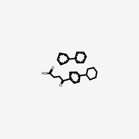 O=C(O)CCC(=O)c1ccc(C2CCCCC2)cc1.c1ccc(-c2ccccc2)cc1